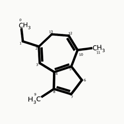 CCC1=CC2=C(CC=C2C)C(C)=CC1